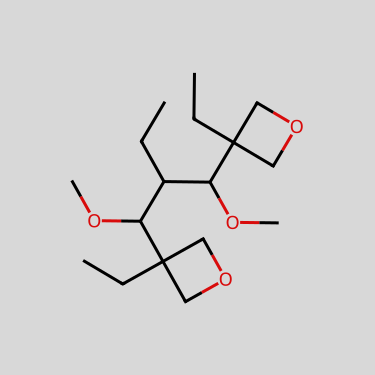 CCC(C(OC)C1(CC)COC1)C(OC)C1(CC)COC1